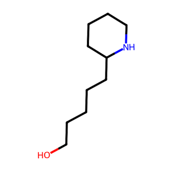 OCCCCCC1CCCCN1